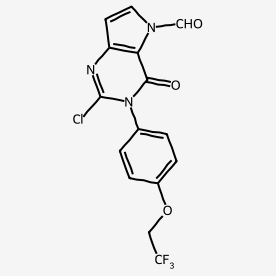 O=Cn1ccc2nc(Cl)n(-c3ccc(OCC(F)(F)F)cc3)c(=O)c21